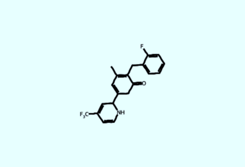 CC1=C(Cc2ccccc2F)C(=O)CC(C2C=C(C(F)(F)F)C=CN2)=C1